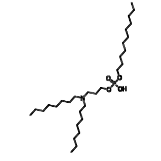 CCCCCCCCCCCOP(=O)(O)OCCCN(CCCCCCCC)CCCCCCCC